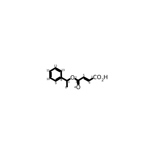 CC(OC(=O)C=CC(=O)O)c1ccccc1